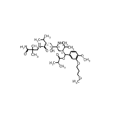 COCCCOc1cc(C(OC(=O)C(C)C)[C@@H](C[C@H](N)[C@@H](O)C[C@H](C(=O)NCC(C)(C)C(N)=O)C(C)C)C(C)C)ccc1OC